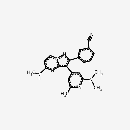 CNc1ccn2nc(-c3cccc(C#N)c3)c(-c3cc(C)nc(N(C)C)c3)c2n1